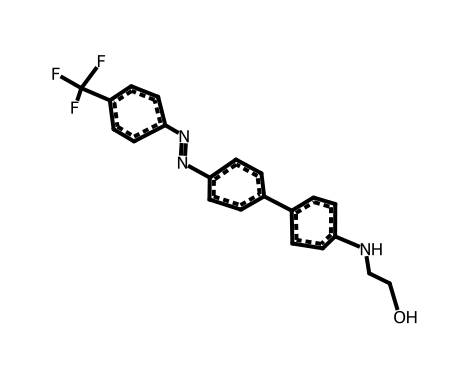 OCCNc1ccc(-c2ccc(N=Nc3ccc(C(F)(F)F)cc3)cc2)cc1